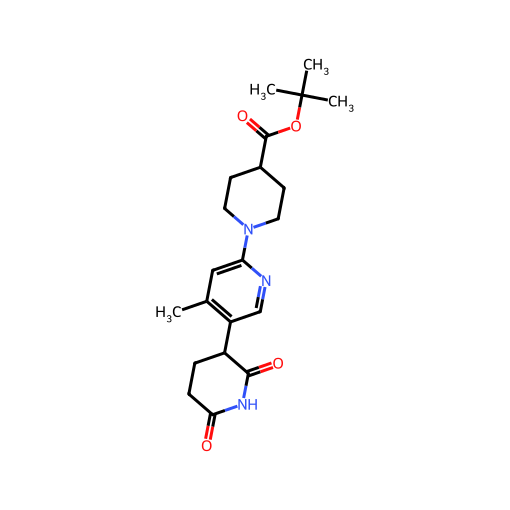 Cc1cc(N2CCC(C(=O)OC(C)(C)C)CC2)ncc1C1CCC(=O)NC1=O